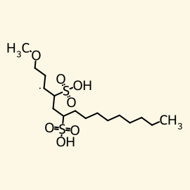 CCCCCCCCCC(CC([CH]CCOC)S(=O)(=O)O)S(=O)(=O)O